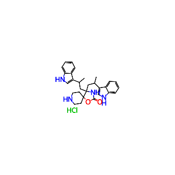 CC(CC1(CC(C)c2c[nH]c3ccccc23)NC(=O)OC12CCNCC2)c1c[nH]c2ccccc12.Cl